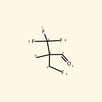 CC(C=O)(CF)C(F)(F)F